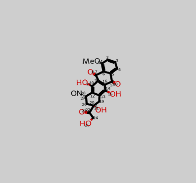 COc1cccc2c1C(=O)c1c(O)c3c(c(O)c1C2=O)C[C@@](O)(C(=O)CO)C[C@@H]3N=O